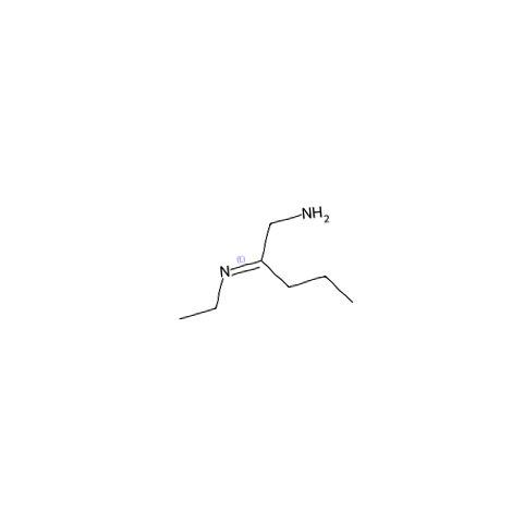 CCC/C(CN)=N\CC